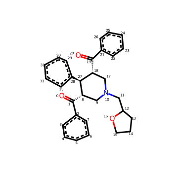 O=C(c1ccccc1)[C@H]1CN(CC2CCCO2)C[C@@H](C(=O)c2ccccc2)[C@@H]1c1ccccc1